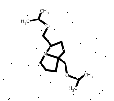 CC(C)OCC1CCC2(COC(C)C)CCCN12